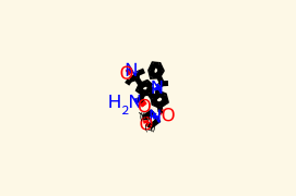 Cc1noc(C)c1-c1cc(C(N)=O)c2c3cc(C(=O)N4C[C@@H](C)O[C@@H](C)C4)ccc3n(C(C)c3ccccc3)c2c1